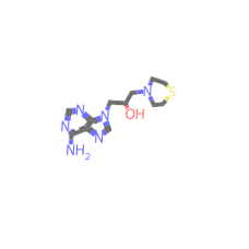 Nc1ncnc2c1ncn2CC(O)CN1CCSCC1